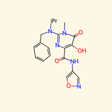 CC(C)N(Cc1ccccc1)c1nc(C(=O)Nc2cnoc2)c(O)c(=O)n1C